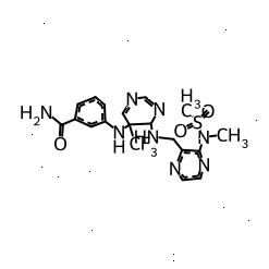 CN(c1nccnc1CNC1N=CN=CC1(Nc1cccc(C(N)=O)c1)C(F)(F)F)S(C)(=O)=O